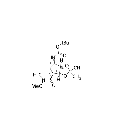 CON(C)C(=O)[C@H]1C[C@@H](NC(=O)OC(C)(C)C)[C@@H]2OC(C)(C)O[C@@H]21